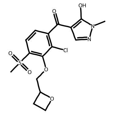 Cn1ncc(C(=O)c2ccc(S(C)(=O)=O)c(OCC3CCO3)c2Cl)c1O